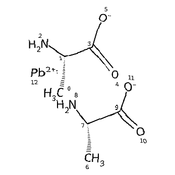 C[C@H](N)C(=O)[O-].C[C@H](N)C(=O)[O-].[Pb+2]